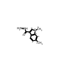 Cc1ccc2c(C(=O)NN)cn(C)c2c1